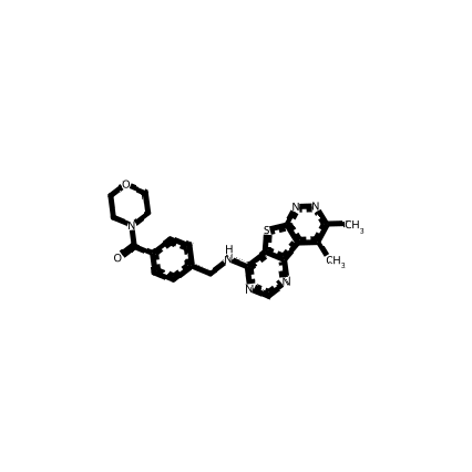 Cc1nnc2sc3c(NCc4ccc(C(=O)N5CCOCC5)cc4)ncnc3c2c1C